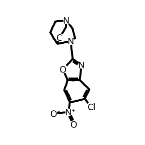 O=[N+]([O-])c1cc2oc(N3CCN4CCC3CC4)nc2cc1Cl